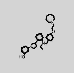 CCN(Cc1ccc(OCCN2CCCCCC2)cc1)c1ccccc1C1CCN(c2cccc(O)c2)C1